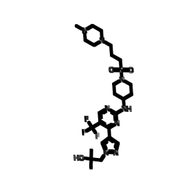 CN1CCN(CCCS(=O)(=O)N2CCC(Nc3ncc(C(F)(F)F)c(-c4cnn(CC(C)(C)O)c4)n3)CC2)CC1